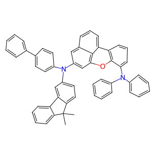 CC1(C)c2ccccc2-c2cc(N(c3ccc(-c4ccccc4)cc3)c3cc4c5c(cccc5c3)-c3cccc(N(c5ccccc5)c5ccccc5)c3O4)ccc21